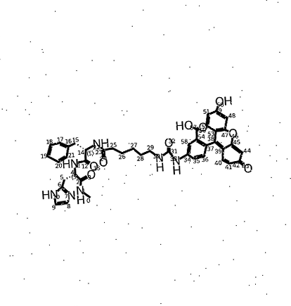 CNC(=O)[C@H](Cc1ncc[nH]1)NC(=O)[C@H](Cc1ccccc1)NC(=O)CCCCCNC(=O)Nc1ccc(-c2c3ccc(=O)cc-3oc3cc(O)ccc23)c(C(=O)O)c1